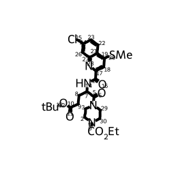 CCOC(=O)N1CCN(C(=O)C(CCC(=O)OC(C)(C)C)NC(=O)c2cc(SC)c3ccc(Cl)cc3n2)CC1